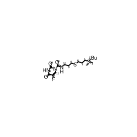 CC(C)(C)[Si](C)(C)CCCSCCCNC(=O)n1cc(F)c(=O)[nH]c1=O